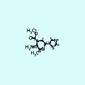 COC(=O)c1cc(-c2cncs2)nc(C)c1N